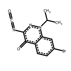 CC(C)n1nc(N=C=O)c(=O)c2ccc(Br)cc21